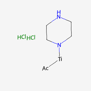 C[C](=O)[Ti][N]1CCNCC1.Cl.Cl